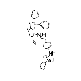 N#Cc1cnc2sc(-c3ccccc3)c(-c3ccccc3)c2c1NCCc1ccc(NC(=O)Nc2ccccc2)cc1